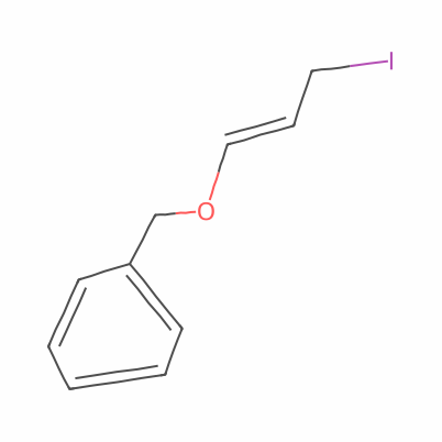 ICC=COCc1ccccc1